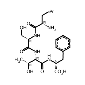 CC(C)C[C@H](N)C(=O)N[C@@H](CO)C(=O)N[C@H](C(=O)N[C@@H](Cc1ccccc1)C(=O)O)[C@@H](C)O